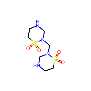 O=S1(=O)CCNCN1CN1CNCCS1(=O)=O